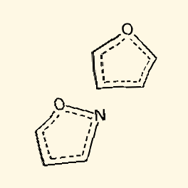 c1ccoc1.c1cnoc1